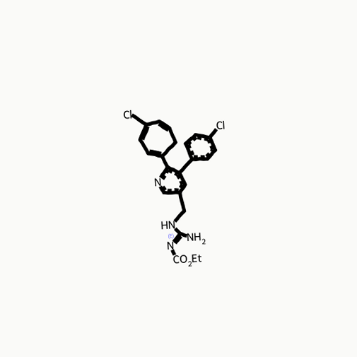 CCOC(=O)/N=C(\N)NCc1cnc(C2=CC=C(Cl)C=CC2)c(-c2ccc(Cl)cc2)c1